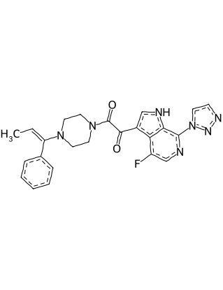 CC=C(c1ccccc1)N1CCN(C(=O)C(=O)c2c[nH]c3c(-n4ccnn4)ncc(F)c23)CC1